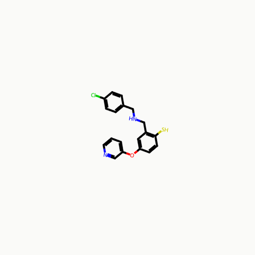 Sc1ccc(Oc2cccnc2)cc1CNCc1ccc(Cl)cc1